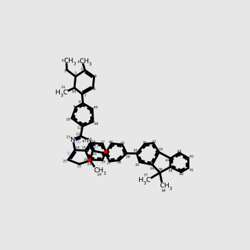 CCC1C(C)=CC=C(c2ccc(C3=N/C(c4ccccc4)=C/CC(C)/C(c4ccc(-c5ccc6c(c5)C(C)(C)c5ccccc5-6)cc4)=N\3)cc2)C1C